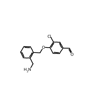 NCc1[c]cccc1COc1ccc(C=O)cc1Cl